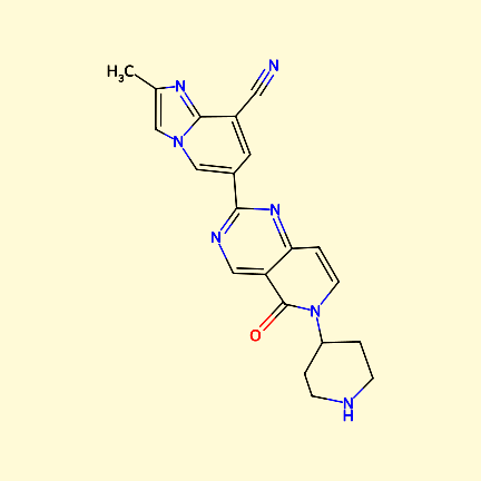 Cc1cn2cc(-c3ncc4c(=O)n(C5CCNCC5)ccc4n3)cc(C#N)c2n1